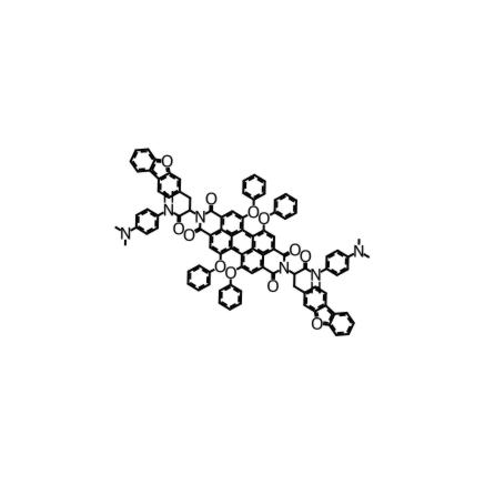 CN(C)c1ccc(NC(=O)C(Cc2ccc3c(c2)oc2ccccc23)N2C(=O)c3cc(Oc4ccccc4)c4c5c(Oc6ccccc6)cc6c7c(cc(Oc8ccccc8)c(c8c(Oc9ccccc9)cc(c3c48)C2=O)c75)C(=O)N(C(Cc2ccc3c(c2)oc2ccccc23)C(=O)Nc2ccc(N(C)C)cc2)C6=O)cc1